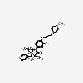 CN1CCN(CCCSc2ccc(N3C(=O)C(C)(C)[N+](Cc4ccncc4)(OC(=O)C(F)(F)F)C3=O)cc2Cl)CC1